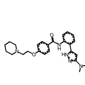 CN(C)c1cc(-c2ccccc2NC(=O)c2ccc(OCCN3CCCCC3)cc2)[nH]n1